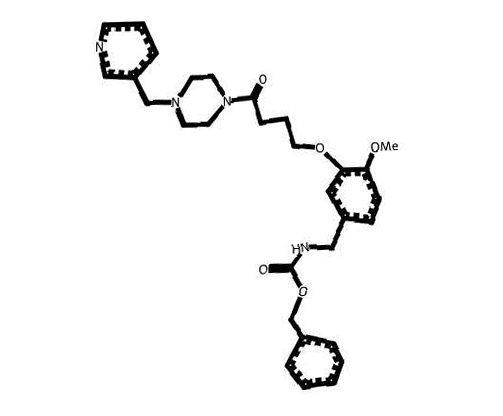 COc1ccc(CNC(=O)OCc2ccccc2)cc1OCCCC(=O)N1CCN(Cc2cccnc2)CC1